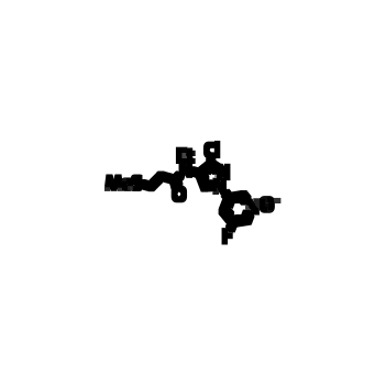 CCN(C(=O)CCSC)c1cn(-c2cc(F)c[n+]([O-])c2)nc1Cl